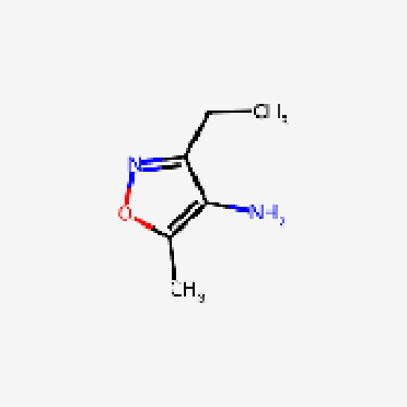 CCc1noc(C)c1N